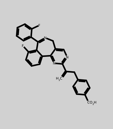 C=C(Cc1ccc(C(=O)O)cc1)c1ncc2c(n1)-c1cccc(F)c1C(c1ccccc1F)=NC2